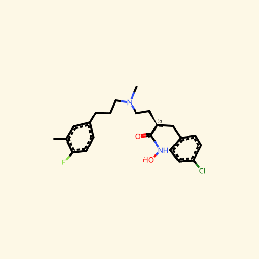 Cc1cc(CCCN(C)CC[C@@H](Cc2ccc(Cl)cc2)C(=O)NO)ccc1F